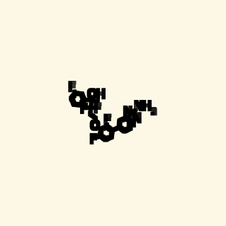 CC(O)(c1cccc(F)c1)C(F)(F)CCOc1c(F)ccc(-c2ccn3nc(N)nc3c2)c1F